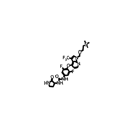 C[Si](C)(C)CCOCn1cc(C(F)(F)F)c2c(Oc3c(F)cc(NC(=O)NC4CCNC4=O)cc3F)ccnc21